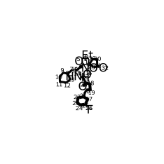 CCOC1(NC(=O)[C@H](CC2CCCCC2)NC(=O)c2ccc(-c3cccc(F)c3)o2)CCC(=O)O1